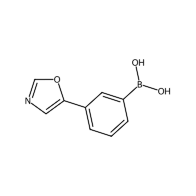 OB(O)c1cccc(-c2cnco2)c1